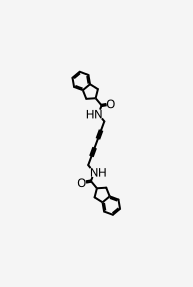 O=C(NCC#CC#CCNC(=O)C1Cc2ccccc2C1)C1Cc2ccccc2C1